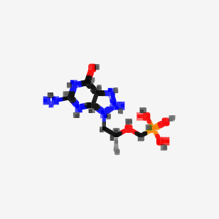 C[C@H](Cn1[nH]nc2c(=O)nc(N)nc1-2)OCP(=O)(O)O